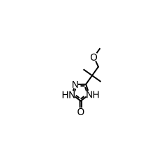 COCC(C)(C)c1n[nH]c(=O)[nH]1